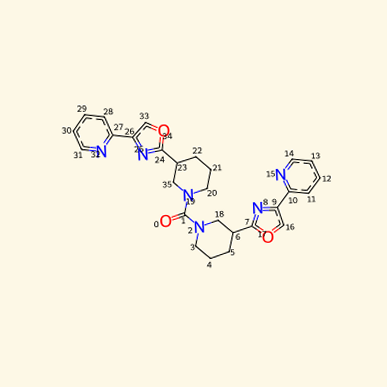 O=C(N1CCCC(c2nc(-c3ccccn3)co2)C1)N1CCCC(c2nc(-c3ccccn3)co2)C1